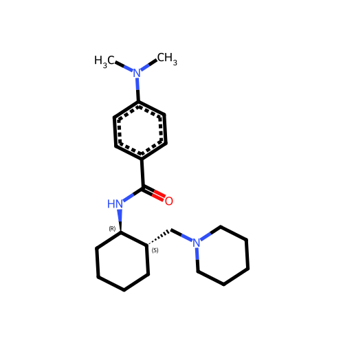 CN(C)c1ccc(C(=O)N[C@@H]2CCCC[C@H]2CN2CCCCC2)cc1